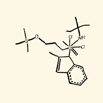 [CH2]=[Ti]([CH3])([Cl])([Cl])([CH2]CCO[Si](C)(C)C)([NH]C(C)(C)C)[CH]1C(C)=Cc2ccccc21